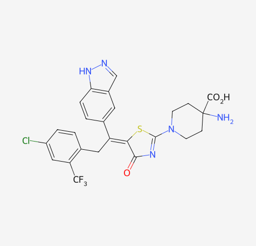 NC1(C(=O)O)CCN(C2=NC(=O)C(=C(Cc3ccc(Cl)cc3C(F)(F)F)c3ccc4[nH]ncc4c3)S2)CC1